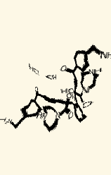 Cl.Cl.NCC1CCC(C(=O)C#CC(O)(C(=O)N2CCNCC2)c2ccccc2C(O)(C#CC(=O)C2CCC(CN)CC2)C(=O)N2CCNCC2)CC1